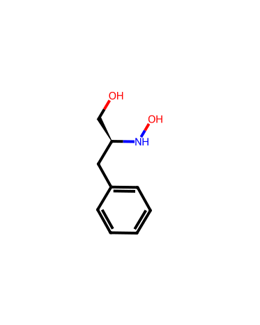 OC[C@H](Cc1ccccc1)NO